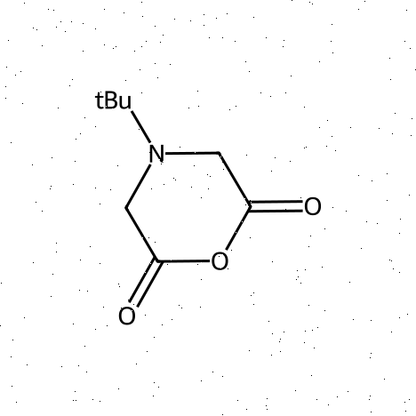 CC(C)(C)N1CC(=O)OC(=O)C1